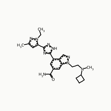 CCn1nc(C)cc1-c1n[nH]c(-c2cc(C(N)=O)cc3c2cnn3CCN(C)C2CCC2)n1